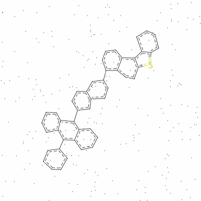 c1ccc(-c2c3ccccc3c(-c3ccc4cc(-c5cccc6c5ccc5sc7ccccc7c56)ccc4c3)c3ccccc23)cc1